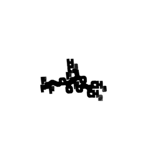 C=C(C)C(=O)OC(CC)C(F)(F)C(=O)OCCC(F)(F)F